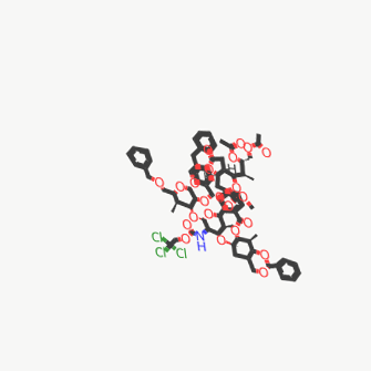 COC(=O)[C@@]1(OCC2O[C@@H](O[C@@H]3C(OCc4ccccc4)[C@H](OCCCc4ccccc4)OC(COCc4ccccc4)[C@@H]3C)C(NC(=O)OCC(Cl)(Cl)Cl)[C@@H](O[C@@H]3CC4COC(c5ccccc5)OC4[C@H](C)C3OC(=O)c3ccccc3)[C@@H]2C)C[C@H]2OC(=O)C[C@H]2C([C@H](C)[C@@H](COC(C)=O)OC(C)=O)O1